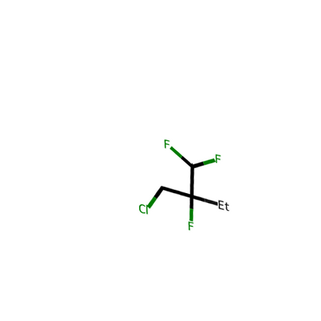 [CH2]CC(F)(CCl)[C](F)F